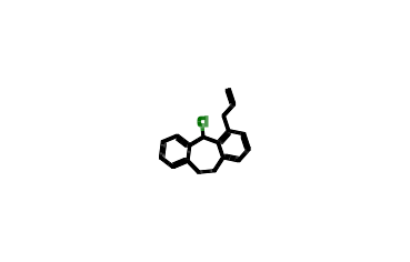 C=CCc1cccc2c1C(Cl)c1ccccc1CC2